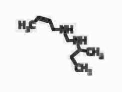 C/C=C\CNCNC(C)CC